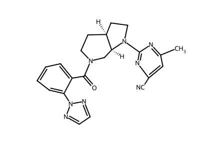 Cc1cc(C#N)nc(N2CC[C@@H]3CCN(C(=O)c4ccccc4-n4nccn4)C[C@@H]32)n1